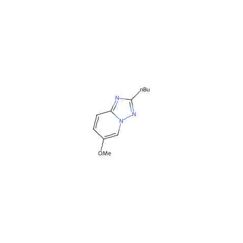 CCCCc1nc2ccc(OC)cn2n1